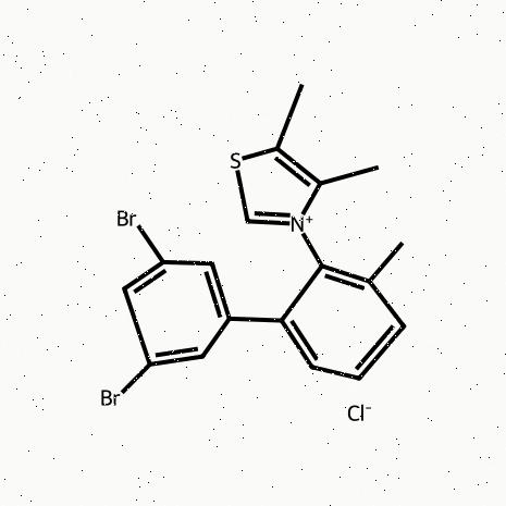 Cc1cccc(-c2cc(Br)cc(Br)c2)c1-[n+]1csc(C)c1C.[Cl-]